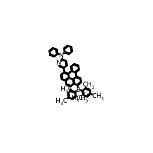 Cc1cc(C)c(B(c2c(C)cc(C)cc2C)c2ccc3c4ccccc4c4c(-c5ccc(N(c6ccccc6)c6ccccc6)nc5)ccc5ccc2c3c54)c(C)c1